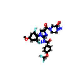 COc1cc(F)c(-n2cc(C(=O)N3CCNC(=O)C3)nc2NC(=O)c2ccc(OC(F)F)cc2)c(F)c1